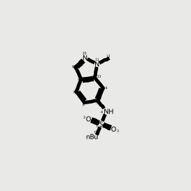 CCCCS(=O)(=O)Nc1ccc2cnn(C)c2c1